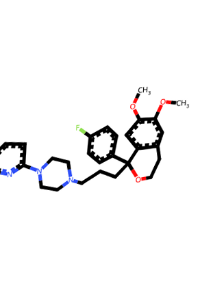 COc1cc2c(cc1OC)C(CCCN1CCN(c3ccccn3)CC1)(c1ccc(F)cc1)OCC2